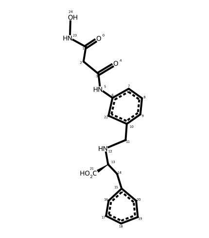 O=C(CC(=O)Nc1cccc(CN[C@@H](Cc2ccccc2)C(=O)O)c1)NO